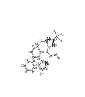 C/C=C/Cc1nc(C(C)(C)C)nn1Cc1ccc(-c2ccccc2-c2nnn[nH]2)cc1